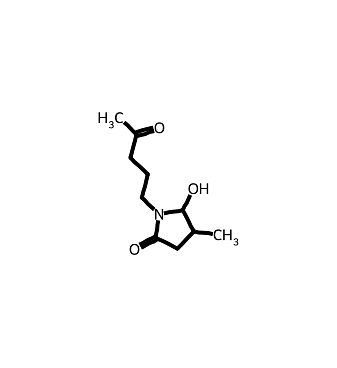 CC(=O)CCCN1C(=O)CC(C)C1O